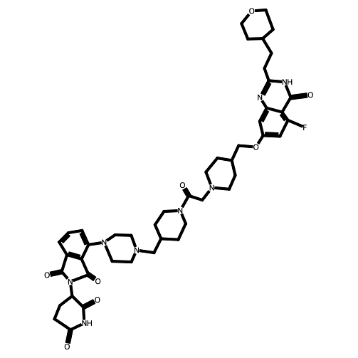 O=C1CCC(N2C(=O)c3cccc(N4CCN(CC5CCN(C(=O)CN6CCC(COc7cc(F)c8c(=O)[nH]c(CCC9CCOCC9)nc8c7)CC6)CC5)CC4)c3C2=O)C(=O)N1